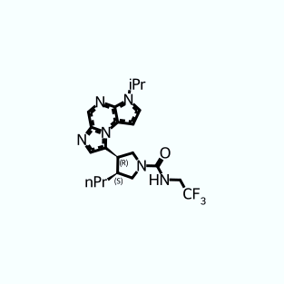 CCC[C@@H]1CN(C(=O)NCC(F)(F)F)C[C@@H]1c1cnc2cnc3c(ccn3C(C)C)n12